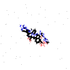 C=C1C(NC(C)C(=O)NC2=NCC=N2)CC2[C@](C)(CC[C@@H](O)[C@@]2(C)CO)C1CC(Nc1ccccn1)C1=C/C(=C\c2cn(C)c3nc(N)ncc23)OC1=O